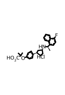 C[C@@H](N[C@H]1CC[C@@H](c2ccc(OC(C)(C)C(=O)O)cc2)C1)c1ccc(F)c2ccccc12.Cl